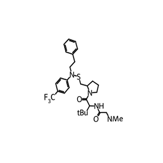 CNCC(=O)NC(C(=O)N1CCCC1CSN(CCc1ccccc1)c1ccc(C(F)(F)F)cc1)C(C)(C)C